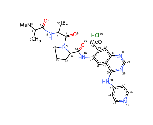 CNC(C)C(=O)NC(C(=O)N1CCCC1C(=O)Nc1cc2c(Nc3ccncc3)ncnc2cc1OC)C(C)(C)C.Cl